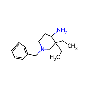 CCC1(CC)CN(Cc2ccccc2)CCC1N